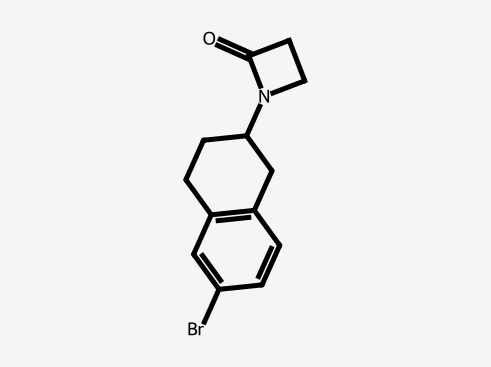 O=C1CCN1C1CCc2cc(Br)ccc2C1